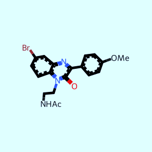 COc1ccc(-c2nc3cc(Br)ccc3n(CCNC(C)=O)c2=O)cc1